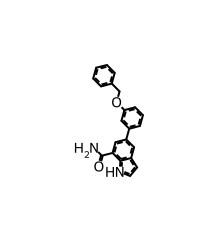 NC(=O)c1cc(-c2cccc(OCc3ccccc3)c2)cc2cc[nH]c12